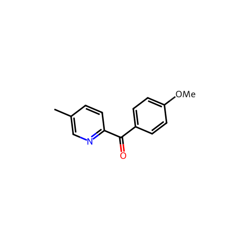 COc1ccc(C(=O)c2ccc(C)cn2)cc1